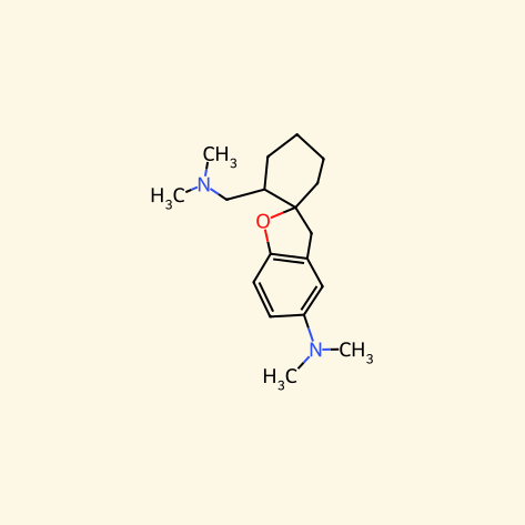 CN(C)CC1CCCCC12Cc1cc(N(C)C)ccc1O2